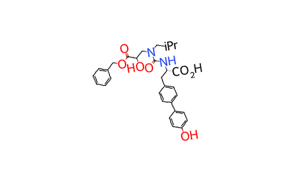 CC(C)CN(CC(O)C(=O)OCc1ccccc1)C(=O)N[C@@H](Cc1ccc(-c2ccc(O)cc2)cc1)C(=O)O